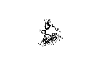 CCCOc1cc(-c2cncc(C(CO[Si](C)(C)C(C)(C)C)CB3OC(C)(C)C(C)(C)O3)c2)cnc1OC